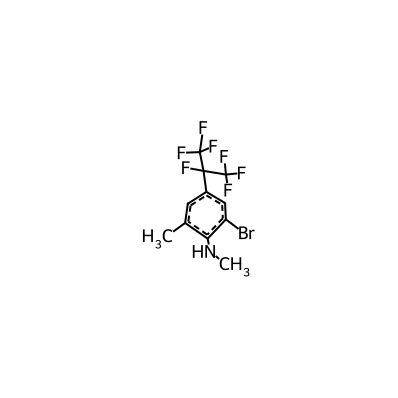 CNc1c(C)cc(C(F)(C(F)(F)F)C(F)(F)F)cc1Br